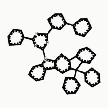 c1ccc(-c2cccc(-c3nc(-c4ccccc4)nc(-n4c5ccccc5c5cc6c(cc54)-c4ccccc4C6(c4ccccc4)c4ccccc4)n3)c2)cc1